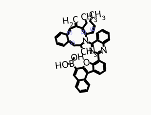 C=C1/C=c2/cccc/c2=C/C(C)N(c2nc(-c3cccc4c3oc3c(B(O)O)cc5ccccc5c34)nc3ccccc23)C(/C=C\CC)=C\1CC